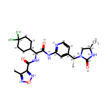 Cc1nonc1C(=O)N[C@H](C(=O)Nc1cc([C@@H](C)N2C[C@@H](C(F)(F)F)NC2=O)ccn1)C1CCC(F)(F)CC1